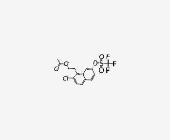 CC(=O)OCCc1c(Cl)ccc2ccc(OS(=O)(=O)C(F)(F)F)cc12